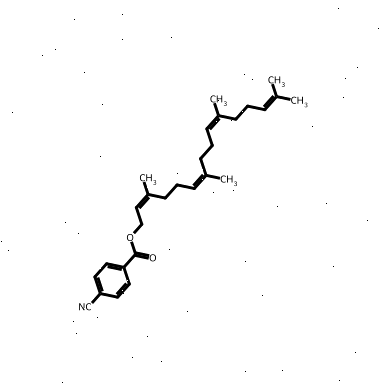 CC(C)=CCCC(C)=CCCC(C)=CCCC(C)=CCOC(=O)c1ccc(C#N)cc1